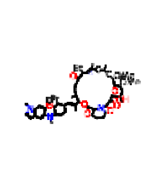 CCCOC1CC(C=C(C)C2OC(=O)C3CCCCN3C(=O)C(=O)C3(O)OC(C(OC)CC(C)C/C(C)=C/C(CC)C(=O)CCC2C)C(OC)CC3C)CCC1N(C)c1ccc2c(ccn2C)c1